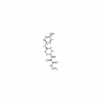 COC(=O)C(=O)NC1CCN(Cc2ccc(O)cc2)CC1